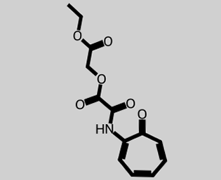 CCOC(=O)COC(=O)C(=O)Nc1cccccc1=O